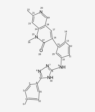 Cc1ccc(-c2nnc(Nc3ccc(C)c(-c4cc5cnc(C)cc5n(C)c4=O)c3)[nH]2)cc1